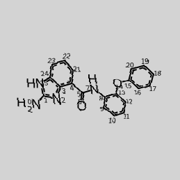 Nc1nc2c(C(=O)Nc3ccccc3Oc3ccccc3)cccc2[nH]1